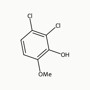 COc1ccc(Cl)c(Cl)c1O